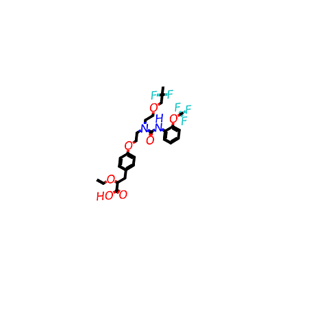 CCOC(Cc1ccc(OCCN(CCOCC(C)(F)F)C(=O)Nc2ccccc2OC(F)(F)F)cc1)C(=O)O